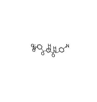 N#Cc1ccc(CNC(=O)c2cc(C(=O)c3cccc([N+](=O)[O-])c3)c[nH]2)cc1